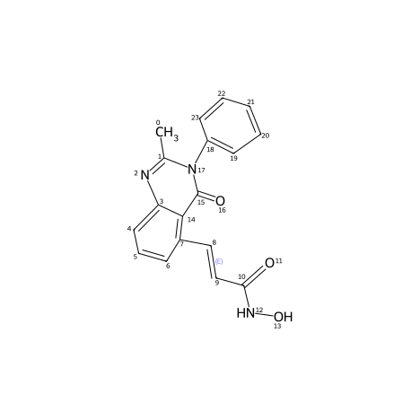 Cc1nc2cccc(/C=C/C(=O)NO)c2c(=O)n1-c1ccccc1